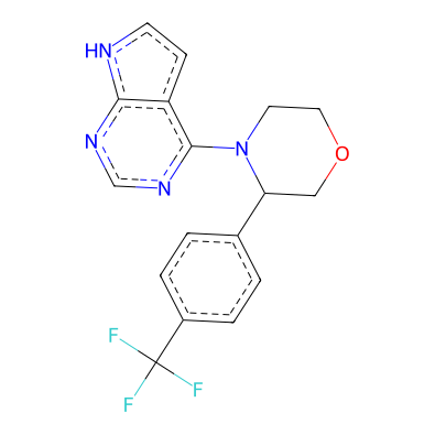 FC(F)(F)c1ccc(C2COCCN2c2ncnc3[nH]ccc23)cc1